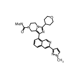 CNC(=O)N1CCn2c(C3CCOCC3)nc(-c3cccc4cc(-c5ccn(C)n5)ncc34)c2C1